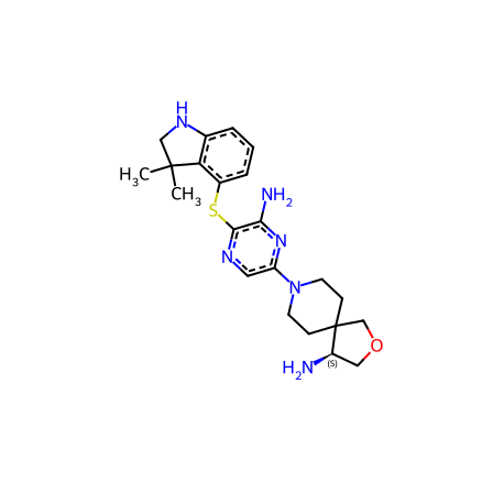 CC1(C)CNc2cccc(Sc3ncc(N4CCC5(CC4)COC[C@H]5N)nc3N)c21